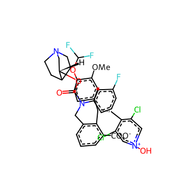 COc1cc([C@H](Cc2c(Cl)c[n+](O)cc2Cl)c2c(CN(C(=O)O[C@H]3CN4CCC3CC4)c3cccc(F)c3)cccc2C(=O)[O-])ccc1OC(F)F